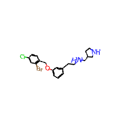 Clc1ccc(COc2cccc(CCNCC3CCNC3)c2)c(Br)c1